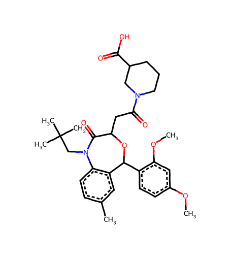 COc1ccc(C2OC(CC(=O)N3CCCC(C(=O)O)C3)C(=O)N(CC(C)(C)C)c3ccc(C)cc32)c(OC)c1